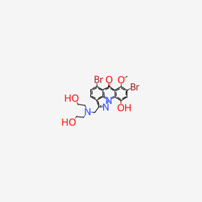 COc1c(Br)cc(O)c2c1c(=O)c1c(Br)ccc3c(CN(CCO)CCO)nn2c31